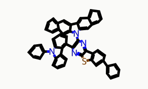 c1ccc(-c2ccc3c(c2)sc2nc(-c4cccc5c4c4ccccc4n5-c4ccccc4)c(-n4c5cc6ccccc6cc5c5cc6ccccc6cc54)nc23)cc1